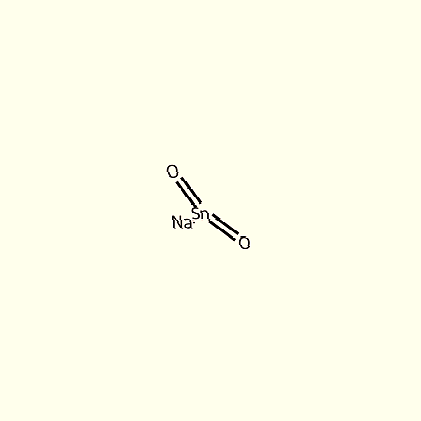 [Na].[O]=[Sn]=[O]